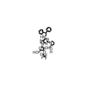 O=C(O[C@H]1[C@@H](O)[C@H](n2cnc3c(NCC(c4ccccc4)c4ccccc4)nc(N4CCC[C@H]4CO)nc32)O[C@@H]1CO)C(F)(F)F